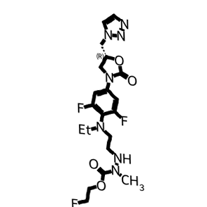 CCN(CCNN(C)C(=O)OCCF)c1c(F)cc(N2C[C@H](Cn3ccnn3)OC2=O)cc1F